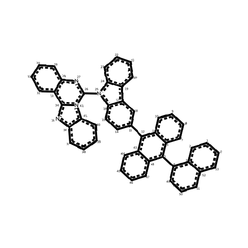 c1ccc2c(-c3c4ccccc4c(-c4ccc5c(c4)c4ccccc4n5-c4nc5ccccc5c5nc6ccccc6n45)c4ccccc34)cccc2c1